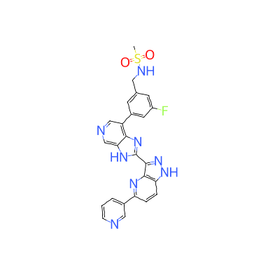 CS(=O)(=O)NCc1cc(F)cc(-c2cncc3[nH]c(-c4n[nH]c5ccc(-c6cccnc6)nc45)nc23)c1